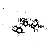 Nc1ccnc2c1c(Cl)cn2[C@@H]1C[C@H](Oc2cc(F)c(F)c3c2CNCC3)[C@@H](O)[C@H]1O